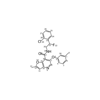 Cc1cccc(Oc2cnc3cc(C)oc3c2C(=O)NCC(F)c2ccccc2Cl)c1